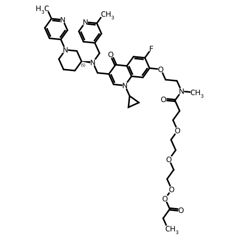 CCC(=O)OOCCOCCOCCC(=O)N(C)CCOc1cc2c(cc1F)c(=O)c(CN(Cc1ccnc(C)c1)[C@H]1CCCN(c3ccc(C)nc3)C1)cn2C1CC1